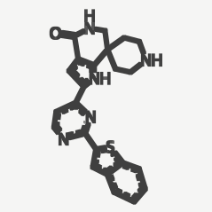 O=C1NCC2(CCNCC2)c2[nH]c(-c3ccnc(-c4cc5ccccc5s4)n3)cc21